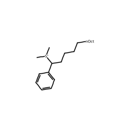 CCCCCCCCCCCCC(c1ccccc1)[S+](C)C